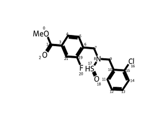 COC(=O)c1ccc(CN(Cc2ccccc2Cl)[SH]=O)c(F)c1